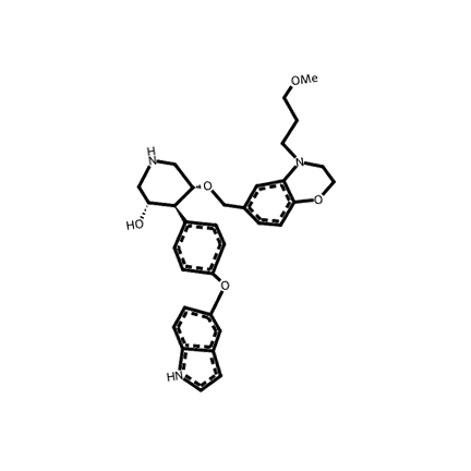 COCCCN1CCOc2ccc(CO[C@H]3CNC[C@@H](O)[C@@H]3c3ccc(Oc4ccc5[nH]ccc5c4)cc3)cc21